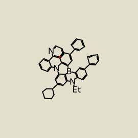 CCN1c2ccc(-c3ccccc3)cc2B2c3cc(-c4ccccc4)ccc3N(c3ccccc3-c3ccccn3)c3cc(C4CCCCC4)cc1c32